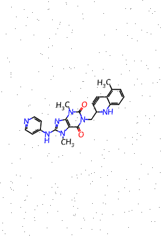 Cc1cccc2c1C#CC(Cn1c(=O)c3c(nc(Nc4ccncc4)n3C)n(C)c1=O)N2